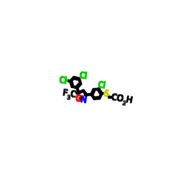 O=C(O)CSc1ccc(C2=NOC(c3cc(Cl)cc(Cl)c3)(C(F)(F)F)C2)cc1Cl